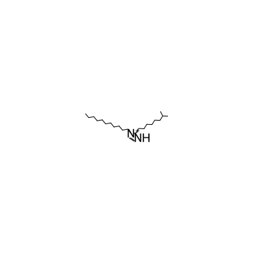 CCCCCCCCCCC[n+]1cc[nH]c1CCCCCCC(C)C